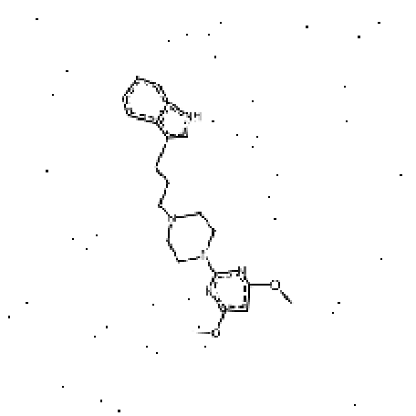 COc1cc(OC)nc(N2CCN(CCCc3c[nH]c4ccccc34)CC2)n1